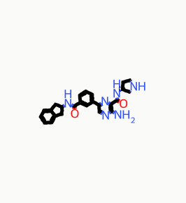 Nc1ncc(-c2cccc(C(=O)NC3Cc4ccccc4C3)c2)nc1C(=O)N[C@H]1CCNC1